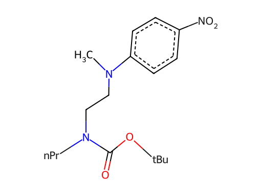 CCCN(CCN(C)c1ccc([N+](=O)[O-])cc1)C(=O)OC(C)(C)C